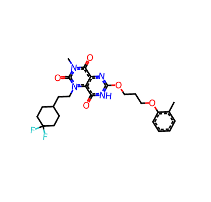 Cc1ccccc1OCCCOc1nc2c(=O)n(C)c(=O)n(CCC3CCC(F)(F)CC3)c2c(=O)[nH]1